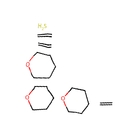 C1CCOCC1.C1CCOCC1.C1CCOCC1.C=C.C=C.C=C.S